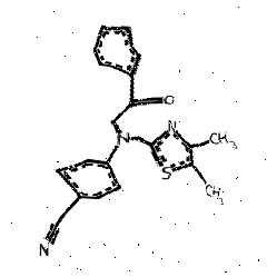 Cc1nc(N(CC(=O)c2ccccc2)c2ccc(C#N)cc2)sc1C